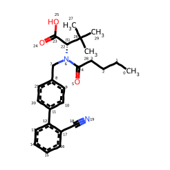 CCCCC(=O)N(Cc1ccc(-c2ccccc2C#N)cc1)[C@H](C(=O)O)C(C)(C)C